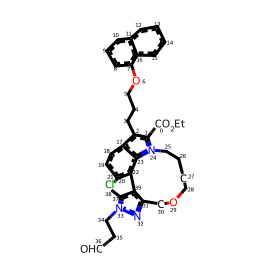 CCOC(=O)c1c(CCCOc2cccc3ccccc23)c2ccc(Cl)c3c2n1CCCCOCc1nn(CCC=O)c(C)c1-3